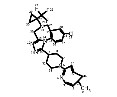 CC1\C=C/N=C(N2CCC(c3nnc4n3-c3ccc(Cl)cc3CN(C3(C(F)(F)F)CC3)C4)CC2)\C=C\C1